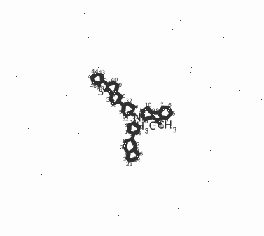 CC1(C)c2ccccc2-c2ccc(N(c3ccc(-c4ccc5ccccc5c4)cc3)c3ccc(-c4ccc5c(ccc6c7ccccc7sc56)c4)cc3)cc21